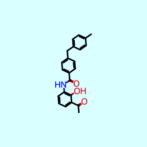 CC(=O)c1cccc(NC(=O)c2ccc(Cc3ccc(C)cc3)cc2)c1O